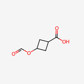 O=COC1CC(C(=O)O)C1